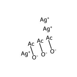 CC(=O)[O-].CC(=O)[O-].CC(=O)[O-].[Ag+].[Ag+].[Ag+]